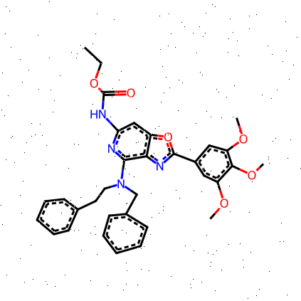 CCOC(=O)Nc1cc2oc(-c3cc(OC)c(OC)c(OC)c3)nc2c(N(CCc2ccccc2)Cc2ccccc2)n1